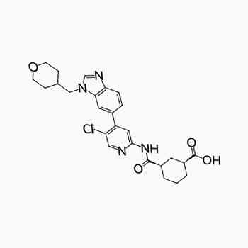 O=C(O)[C@H]1CCC[C@@H](C(=O)Nc2cc(-c3ccc4ncn(CC5CCOCC5)c4c3)c(Cl)cn2)C1